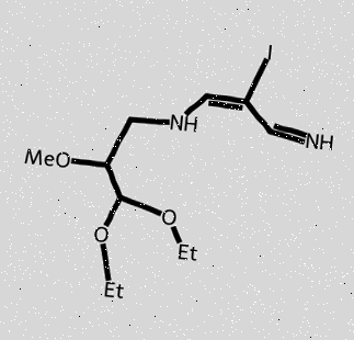 CCOC(OCC)C(CN/C=C(/I)C=N)OC